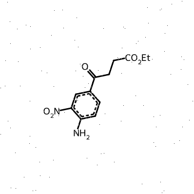 CCOC(=O)CCC(=O)c1ccc(N)c([N+](=O)[O-])c1